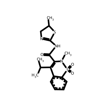 CC1CN=C(NC(=O)C2=C(C(C)C)c3ccccc3S(=O)(=O)N2C)S1